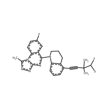 Cc1nnc2nc(N3CCCc4c(C#CC(C)(C)C(F)F)cccc43)c3cc(F)ccc3n12